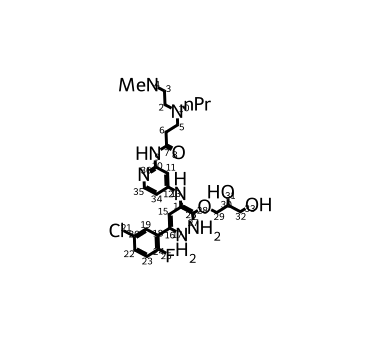 CCCN(CCNC)CCC(=O)Nc1cc(NC(/C=C(\N)c2cc(Cl)ccc2F)=C(/N)OCC(O)CO)ccn1